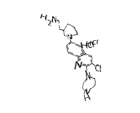 Cl.Cl.NCCC1CCCN(c2ccc3nc(N4CCNCC4)c(Cl)cc3c2)C1